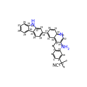 CC(C)(C#N)c1ccc(Cc2c(N)cnc3ccc(-c4ccc5c(c4)[nH]c4ccccc45)cc23)cc1